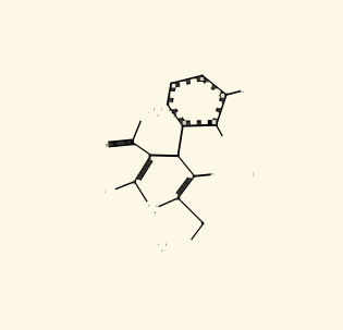 CCOC(=O)C1=C(COC)NC(C)=C(C(=O)OC)C1c1cccc(Cl)c1Cl